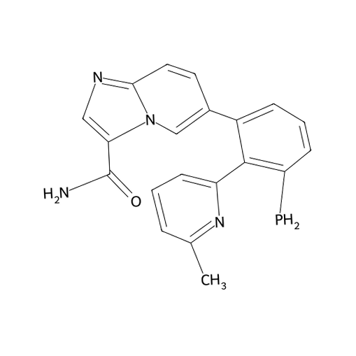 Cc1cccc(-c2c(P)cccc2-c2ccc3ncc(C(N)=O)n3c2)n1